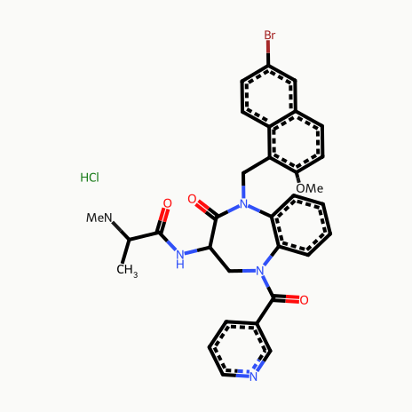 CNC(C)C(=O)NC1CN(C(=O)c2cccnc2)c2ccccc2N(Cc2c(OC)ccc3cc(Br)ccc23)C1=O.Cl